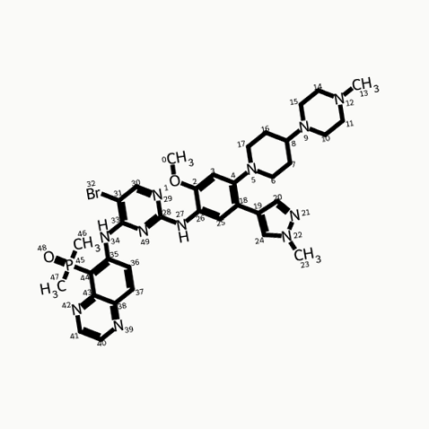 COc1cc(N2CCC(N3CCN(C)CC3)CC2)c(-c2cnn(C)c2)cc1Nc1ncc(Br)c(Nc2ccc3nccnc3c2P(C)(C)=O)n1